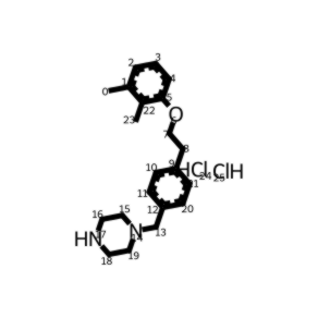 Cc1cccc(OCCc2ccc(CN3CCNCC3)cc2)c1C.Cl.Cl